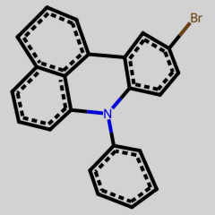 Brc1ccc2c(c1)-c1cccc3cccc(c13)N2c1ccccc1